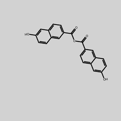 O=C(OC(=O)c1ccc2cc(O)ccc2c1)c1ccc2cc(O)ccc2c1